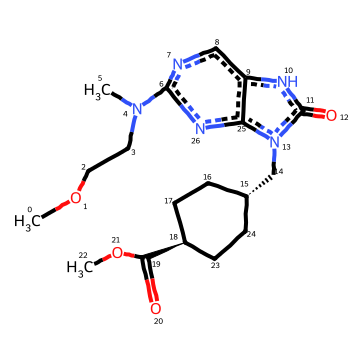 COCCN(C)c1ncc2[nH]c(=O)n(C[C@H]3CC[C@H](C(=O)OC)CC3)c2n1